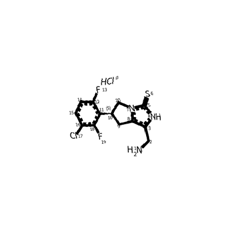 Cl.NCc1[nH]c(=S)n2c1C[C@@H](c1c(F)ccc(Cl)c1F)C2